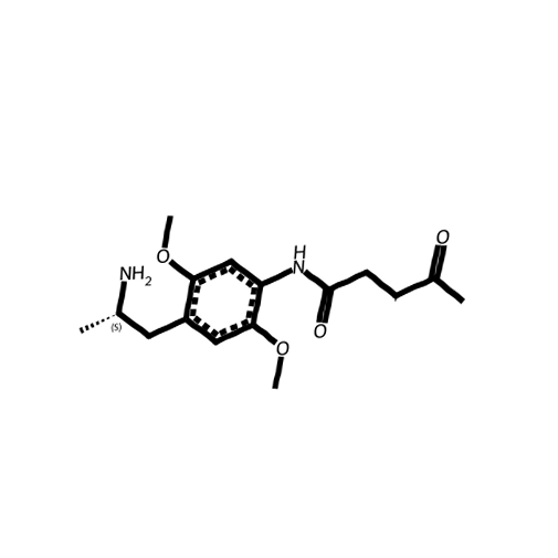 COc1cc(NC(=O)C[CH]C(C)=O)c(OC)cc1C[C@H](C)N